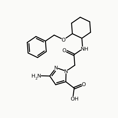 Nc1cc(C(=O)O)n(CC(=O)NC2CCCCC2OCc2ccccc2)n1